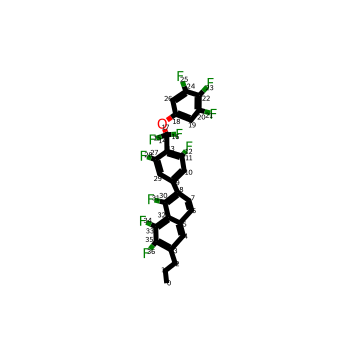 CCCc1cc2ccc(-c3cc(F)c(C(F)(F)Oc4cc(F)c(F)c(F)c4)c(F)c3)c(F)c2c(F)c1F